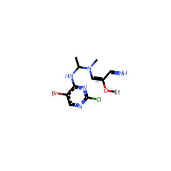 CCO/C(C=N)=C/N(C)C(C)Nc1nc(Cl)ncc1Br